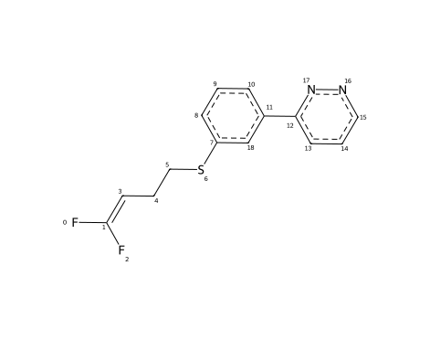 FC(F)=CCCSc1cccc(-c2cccnn2)c1